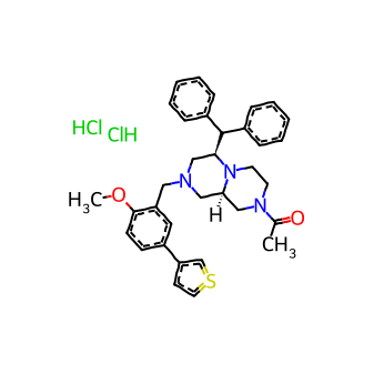 COc1ccc(-c2ccsc2)cc1CN1C[C@@H]2CN(C(C)=O)CCN2[C@H](C(c2ccccc2)c2ccccc2)C1.Cl.Cl